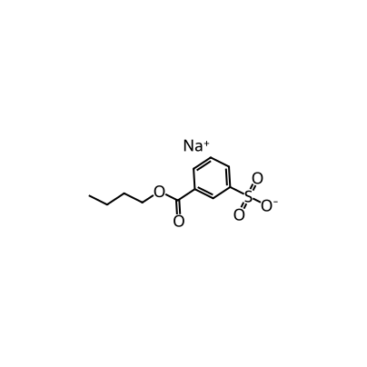 CCCCOC(=O)c1cccc(S(=O)(=O)[O-])c1.[Na+]